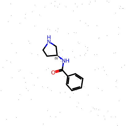 O=C(N[C@H]1CCNC1)c1ccccc1